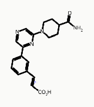 NC(=O)C1CCN(c2cncc(-c3cccc(/C=C/C(=O)O)c3)n2)CC1